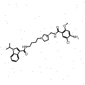 COc1cc(N)c(Cl)cc1C(=O)NC[C@H]1CCN(CCCCNC(=O)c2cn(C(C)C)c3ccccc23)C1